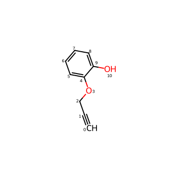 C#CCOc1ccccc1O